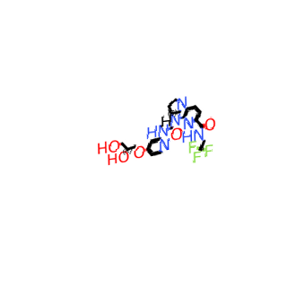 O=C(NCC(F)(F)F)c1ccc2c(n1)N(C(=O)Nc1cc(OC[C@H](O)CO)ccn1)[C@H]1CCN2C1